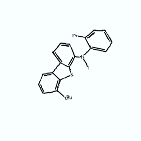 CC(C)c1ccccc1N(I)c1cccc2c1sc1c(C(C)(C)C)cccc12